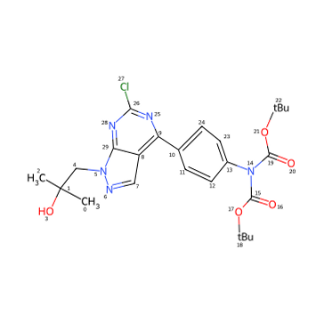 CC(C)(O)Cn1ncc2c(-c3ccc(N(C(=O)OC(C)(C)C)C(=O)OC(C)(C)C)cc3)nc(Cl)nc21